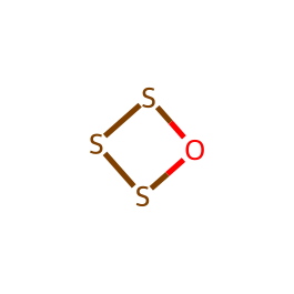 O1SSS1